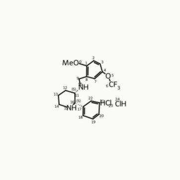 COc1ccc(OC(F)(F)F)cc1CN[C@H]1CCCN[C@H]1c1ccccc1.Cl.Cl